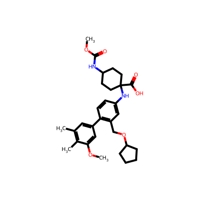 COC(=O)NC1CCC(Nc2ccc(-c3cc(C)c(C)c(OC)c3)c(COC3CCCC3)c2)(C(=O)O)CC1